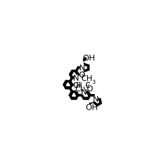 COc1nc(-c2cccc(-c3cccc(-c4ccc(CN5CCC[C@H]5CO)c(OC)n4)c3Cl)c2Cl)ccc1CN1CCC[C@H]1CO